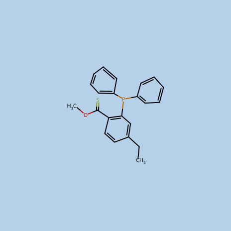 CCc1ccc(C(=S)OC)c(P(c2ccccc2)c2ccccc2)c1